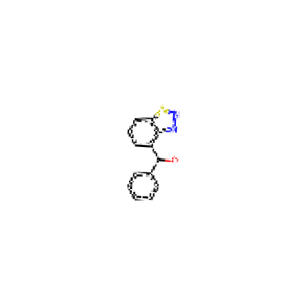 O=C(c1ccccc1)c1cccc2snnc12